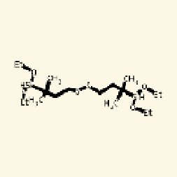 CCO[SiH](OCC)C(C)(C)CCSSCCC(C)(C)[SiH](OCC)OCC